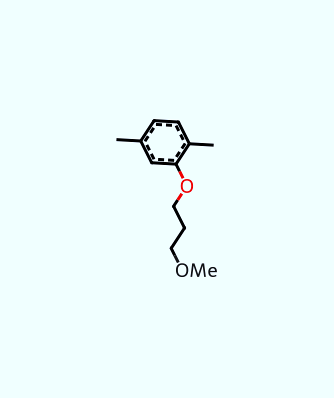 COCCCOc1cc(C)ccc1C